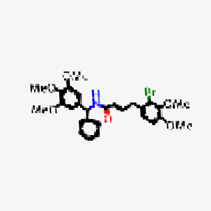 COc1cc(C(NC(=O)C=CCc2ccc(OC)c(OC)c2Br)c2ccccc2)cc(OC)c1OC